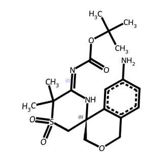 CC(C)(C)OC(=O)/N=C1\N[C@@]2(COCc3ccc(N)cc32)CS(=O)(=O)C1(C)C